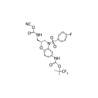 CC(C)(OC(=O)Nc1ccc2c(c1)N(S(=O)(=O)c1ccc(F)cc1)C[C@H](CNC(=O)OC#N)O2)C(F)(F)F